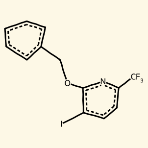 FC(F)(F)c1ccc(I)c(OCc2ccccc2)n1